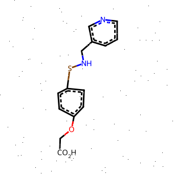 O=C(O)COc1ccc(SNCc2cccnc2)cc1